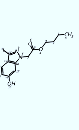 CCCCOC(=O)Cn1nc(I)c2ccc(O)cc21